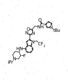 CC(C)N1CC[C@@H](Nc2cccc3c2cc(-c2noc(CNC(=O)c4ccn(C(C)(C)C)c4)n2)n3CC(F)(F)F)[C@@H](F)C1